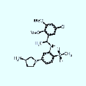 COc1cc(Cl)cc(C(C)Nc2cc(N3CCC(N)C3)ccc2S(C)(=O)=O)c1OC